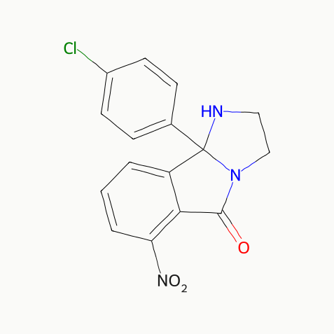 O=C1c2c([N+](=O)[O-])cccc2C2(c3ccc(Cl)cc3)NCCN12